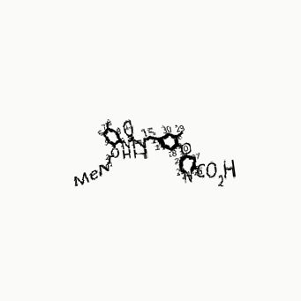 CNCCOc1ccc(C)cc1NC(=O)NCc1ccc(Oc2ccnc(C(=O)O)c2)c(C)c1